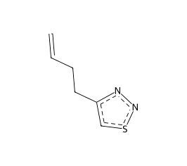 [CH]=CCCc1csnn1